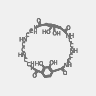 O=C1NCCNCCNCCNC(=O)c2ccc(c(O)c2O)C(=O)NCCNCCNC(=O)c2ccc1c(O)c2O